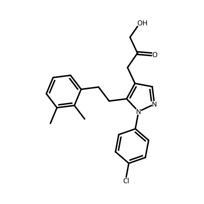 Cc1cccc(CCc2c(CC(=O)CO)cnn2-c2ccc(Cl)cc2)c1C